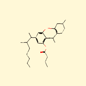 CCCCCC(C)C(C)c1cc(OC(=O)CCC)c2c(c1)OC1=C(CCC(C)C1)C2C